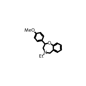 CCN1Cc2ccccc2OC(c2ccc(OC)cc2)C1